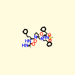 CN[C@@H](C)C(=O)N[C@@H](CCc1ccccc1)C(=O)N1CCC[C@H]1CN(CCc1ccccc1)C(=O)[C@@H](Cc1ccccc1)NS(C)(=O)=O